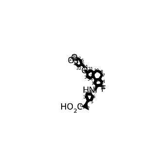 O=C(O)[C@H]1CC1c1ccc(NCc2cc3c(cc2F)CCCc2cc(OCC4CCS(=O)(=O)CC4)ccc2-3)cc1